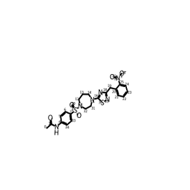 CC(=O)Nc1ccc(S(=O)(=O)N2CCCN(c3nc(Cc4ccccc4[N+](=O)[O-])ns3)CC2)cc1